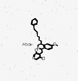 COc1ccc2c(c1)C(CCCCCCc1ccccc1)CN=C2Cc1c(Cl)cncc1Cl.Cl.Cl